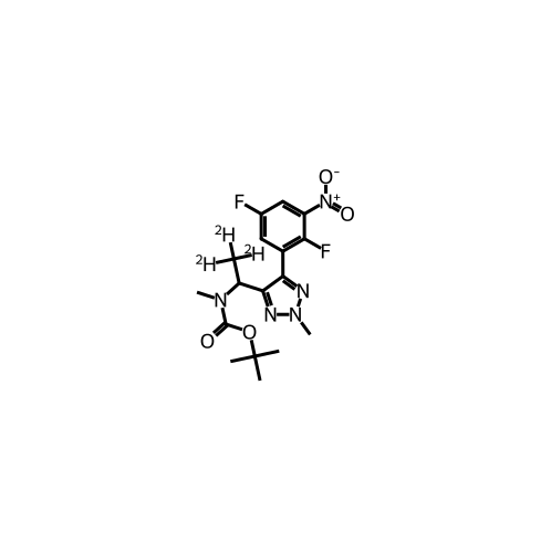 [2H]C([2H])([2H])C(c1nn(C)nc1-c1cc(F)cc([N+](=O)[O-])c1F)N(C)C(=O)OC(C)(C)C